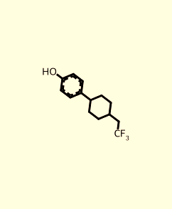 Oc1ccc(C2CCC(CC(F)(F)F)CC2)cc1